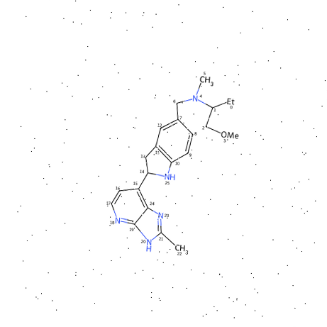 CCC(COC)N(C)Cc1ccc2c(c1)CC(c1ccnc3[nH]c(C)nc13)N2